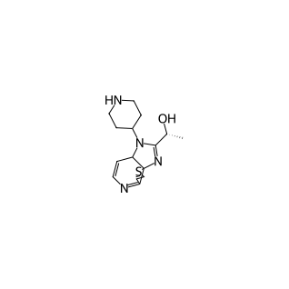 C[C@@H](O)C1=NC23SC=CC2=NC=CC3N1C1CCNCC1